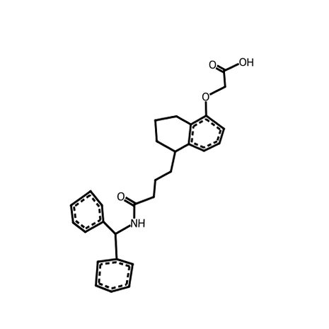 O=C(O)COc1cccc2c1CCCC2CCCC(=O)NC(c1ccccc1)c1ccccc1